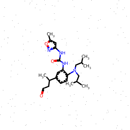 Cc1cc(NC(=O)Nc2cc(C(C)CC=O)ccc2N(CC(C)C)CC(C)C)no1